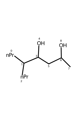 CCCC(CCC)C(O)CC(C)O